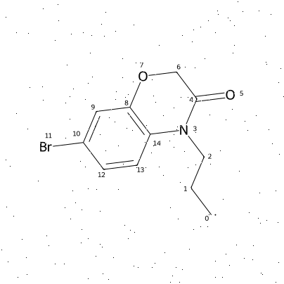 [CH2]CCN1C(=O)COc2cc(Br)ccc21